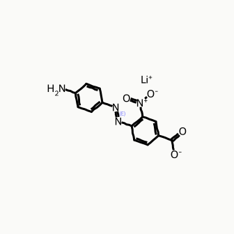 Nc1ccc(/N=N/c2ccc(C(=O)[O-])cc2[N+](=O)[O-])cc1.[Li+]